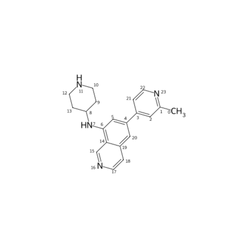 Cc1cc(-c2cc(NC3CCNCC3)c3cnccc3c2)ccn1